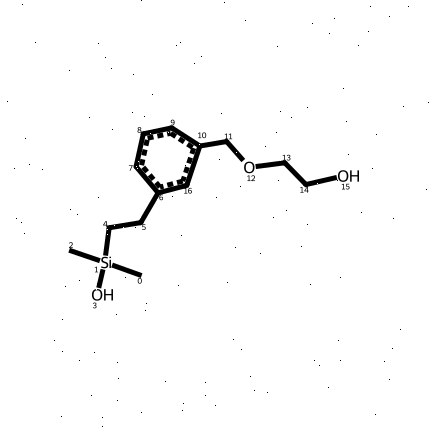 C[Si](C)(O)CCc1cccc(COCCO)c1